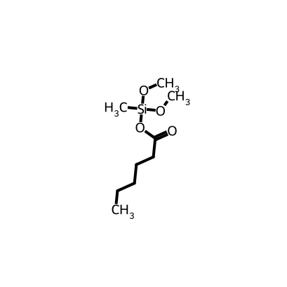 CCCCCC(=O)O[Si](C)(OC)OC